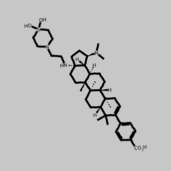 CN(C)[C@@H]1CC[C@]2(NCCN3CCS(O)(O)CC3)CC[C@]3(C)[C@H](CC[C@@H]4[C@@]5(C)CC=C(c6ccc(C(=O)O)cc6)C(C)(C)[C@@H]5CC[C@]43C)[C@@H]12